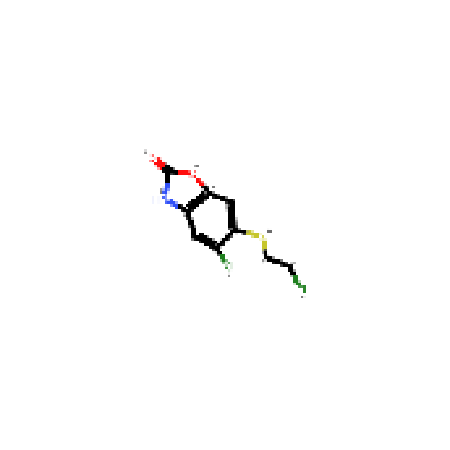 O=c1[nH]c2cc(Cl)c(SCCCl)cc2o1